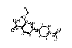 CCOc1nc(N2CCN(C(C)=O)CC2)ccc1C(=O)O